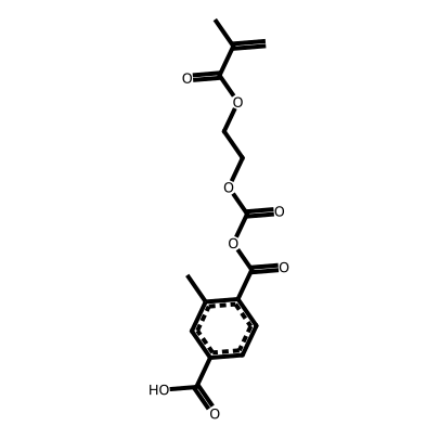 C=C(C)C(=O)OCCOC(=O)OC(=O)c1ccc(C(=O)O)cc1C